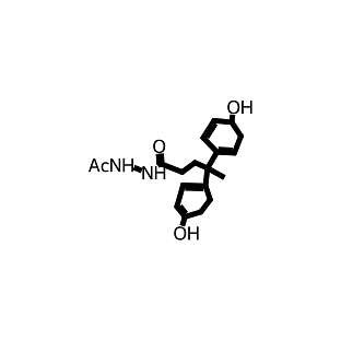 CC(=O)NNC(=O)CCC(C)(C1=CCC(O)C=C1)C1=CC=C(O)CC1